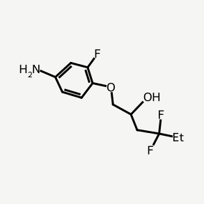 CCC(F)(F)CC(O)COc1ccc(N)cc1F